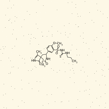 CCCNC(=S)NS(=O)(=O)c1cc(C(CC2(CC)C(=O)NC=C2C)NC=O)ccc1OC